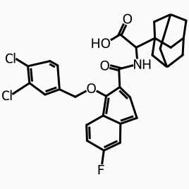 O=C(NC(C(=O)O)C12CC3CC(CC(C3)C1)C2)c1ccc2cc(F)ccc2c1OCc1ccc(Cl)c(Cl)c1